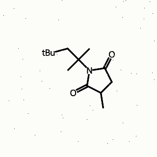 CC1CC(=O)N(C(C)(C)CC(C)(C)C)C1=O